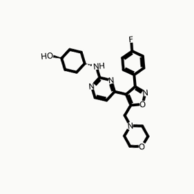 O[C@H]1CC[C@H](Nc2nccc(-c3c(-c4ccc(F)cc4)noc3CN3CCOCC3)n2)CC1